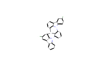 Brc1ccc2c(c1)c1cccc3c1n2-c1cccc2c1B3c1cc(Br)cc3c4ccccc4n-2c13